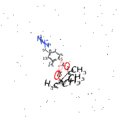 CC1(C)OB(c2ccc(CN=[N+]=[N-])cc2)OC1(C)C